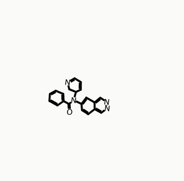 O=C(c1ccccc1)N(c1ccc2cnncc2c1)C1C=CC=NC1